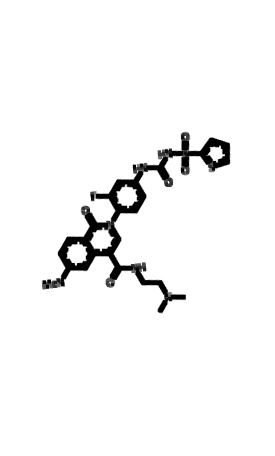 CNc1ccc2c(=O)n(-c3ccc(NC(=O)NS(=O)(=O)c4cccs4)cc3F)cc(C(=O)NCCN(C)C)c2c1